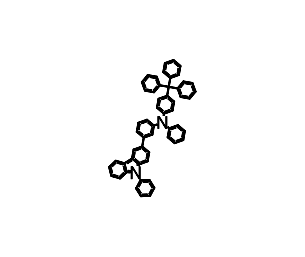 c1ccc(N(c2ccc(C(c3ccccc3)(c3ccccc3)c3ccccc3)cc2)c2cccc(-c3ccc4c(c3)c3ccccc3n4-c3ccccc3)c2)cc1